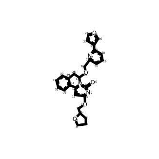 O=c1nc(OCC2CCCO2)cc2n1C(OCc1cccc(-c3ccoc3)n1)Cc1ccccc1-2